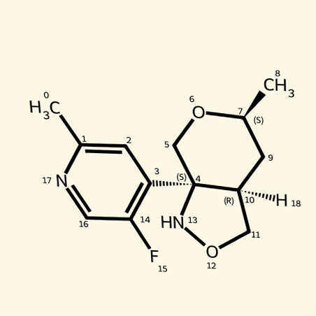 Cc1cc([C@]23CO[C@@H](C)C[C@H]2CON3)c(F)cn1